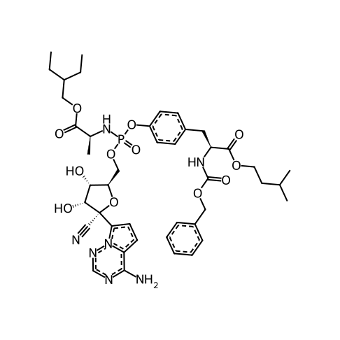 CCC(CC)COC(=O)[C@H](C)NP(=O)(OC[C@H]1O[C@@](C#N)(c2ccc3c(N)ncnn23)[C@H](O)[C@@H]1O)Oc1ccc(C[C@H](NC(=O)OCc2ccccc2)C(=O)OCCC(C)C)cc1